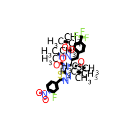 CC(C)(C)OC(=O)N[C@H](CN(C(=O)OC(C)(C)C)c1nnc(-c2ccc([N+](=O)[O-])c(F)c2)s1)[C@@H](O[Si](C)(C)C(C)(C)C)c1ccc(C(F)(F)F)cc1